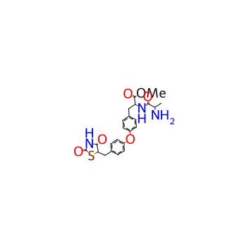 COC(=O)C(Cc1ccc(Oc2ccc(CC3SC(=O)NC3=O)cc2)cc1)NC(=O)C(C)N